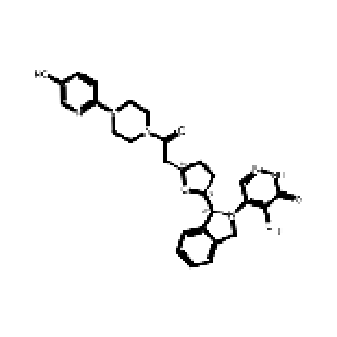 N#Cc1ccc(N2CCN(C(=O)C[C@H]3CC[C@@H]([C@@H]4c5ccccc5CN4c4cn[nH]c(=O)c4C(F)(F)F)O3)CC2)nc1